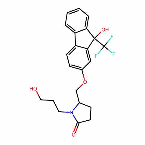 O=C1CCC(COc2ccc3c(c2)C(O)(C(F)(F)F)c2ccccc2-3)N1CCCO